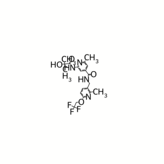 Cc1cc(C(=O)NCc2ccc(OCC(F)(F)F)nc2C)cc(NC(=O)C(C)(C)O)n1